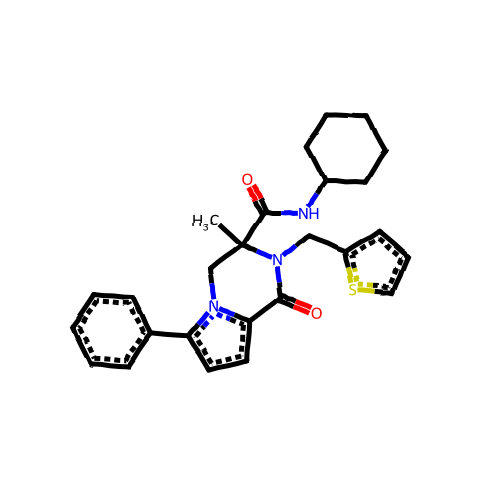 CC1(C(=O)NC2CCCCC2)Cn2c(ccc2-c2ccccc2)C(=O)N1Cc1cccs1